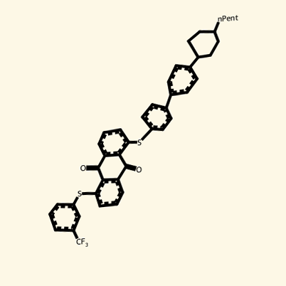 CCCCCC1CCC(c2ccc(-c3ccc(Sc4cccc5c4C(=O)c4cccc(Sc6cccc(C(F)(F)F)c6)c4C5=O)cc3)cc2)CC1